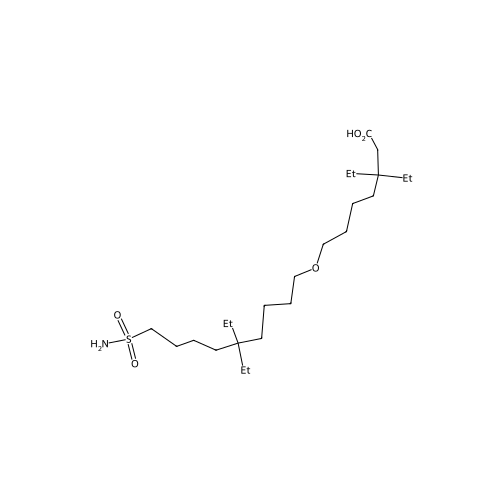 CCC(CC)(CCCCOCCCCC(CC)(CC)CC(=O)O)CCCCS(N)(=O)=O